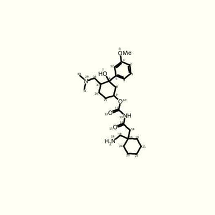 COc1cccc(C2(O)CC(OC(=O)NC(=O)CC3(CN)CCCCC3)CCC2CN(C)C)c1